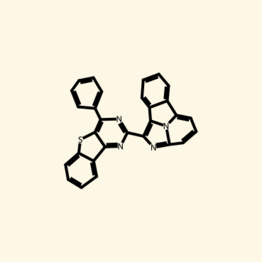 c1ccc(-c2nc(-c3nc4cccc5c6ccccc6c3n45)nc3c2sc2ccccc23)cc1